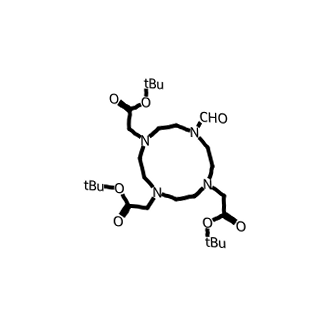 CC(C)(C)OC(=O)CN1CCN(C=O)CCN(CC(=O)OC(C)(C)C)CCN(CC(=O)OC(C)(C)C)CC1